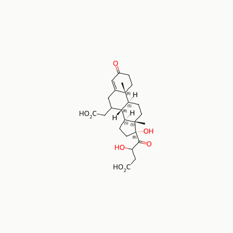 C[C@]12CCC(=O)C=C1CC(CC(=O)O)[C@@H]1[C@@H]2CC[C@@]2(C)[C@H]1CC[C@]2(O)C(=O)C(O)CC(=O)O